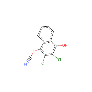 N#COc1c(Cl)c(Cl)c(O)c2ccccc12